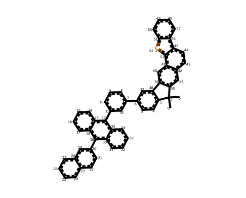 CC1(C)c2ccc(-c3cccc(-c4c5ccccc5c(-c5ccc6ccccc6c5)c5ccccc45)c3)cc2-c2cc3c(ccc4c5ccccc5sc34)cc21